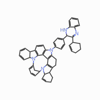 C1=CC2c3ccc4c5c6c(n4-c4ccc(C7Nc8ccccc8N=C7C7C=CCCC7)cc4)CCC4=C6N(C6C=CC=C(C6)N(c35)C2C=C1)C1C=CCCC41